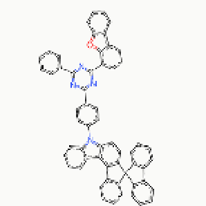 c1ccc(-c2nc(-c3ccc(-n4c5ccccc5c5c6c(ccc54)C4(c5ccccc5-c5ccccc54)c4ccccc4-6)cc3)nc(-c3cccc4c3oc3ccccc34)n2)cc1